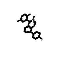 Cc1ccc(C)c(-c2c3cccc(-c4ccc(F)cc4)c3cc[n+]2C)c1